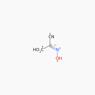 N#C/C(=N/O)C(=O)O